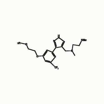 CCCOCCOc1cc(-c2n[nH]cc2CN(C)CCNC)cc(C(F)(F)F)c1